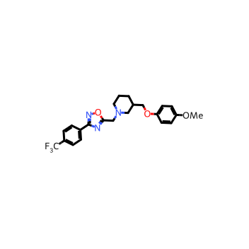 COc1ccc(OCC2CCCN(Cc3nc(-c4ccc(C(F)(F)F)cc4)no3)C2)cc1